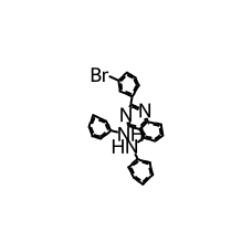 Brc1cccc(-c2nc(Nc3ccccc3)c3c(Nc4ccccc4)cccc3n2)c1